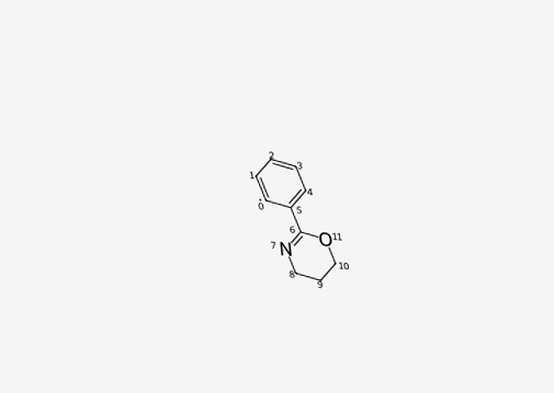 [c]1ccccc1C1=NCCCO1